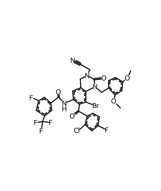 COc1ccc(CN2C(=O)N(CC#N)Cc3cc(NC(=O)c4cc(F)cc(C(F)(F)F)c4)c(C(=O)c4ccc(F)cc4Cl)c(Br)c32)c(OC)c1